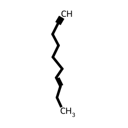 C#CCCCCC=CCC